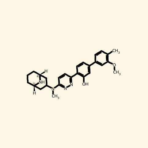 COc1cc(-c2ccc(-c3ccc(N(C)C4C[C@H]5CCC[C@@H](C4)N5)nn3)c(O)c2)ccc1C